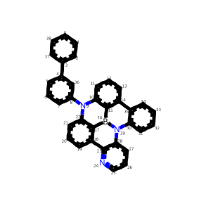 c1ccc(-c2cccc(N3c4cccc5c4B4c6c(cccc63)-c3ncccc3N4c3ccccc3-5)c2)cc1